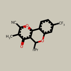 CCCC1Oc2cc(C(F)(F)F)ccc2-c2oc(C#N)c(C)c(=O)c21